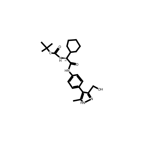 Cc1[nH]nc(CO)c1-c1ccc(NC(=O)[C@@H](NC(=O)OC(C)(C)C)C2CCCCC2)cc1